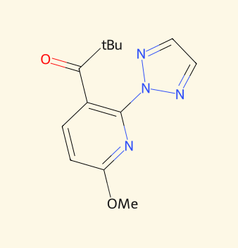 COc1ccc(C(=O)C(C)(C)C)c(-n2nccn2)n1